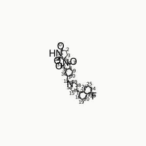 O=C1CCC(N2C(=O)c3ccc(CN4CCC(c5cccc6c(F)cccc56)CC4)cc3C2=O)C(=O)N1